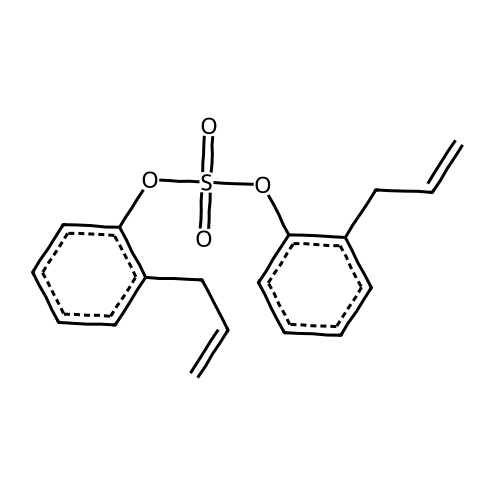 C=CCc1ccccc1OS(=O)(=O)Oc1ccccc1CC=C